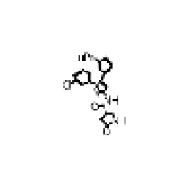 CCCc1cccc(-c2cc(NC(=O)[C@@H]3CNC(=O)C3)nn2-c2cccc(Cl)c2)c1